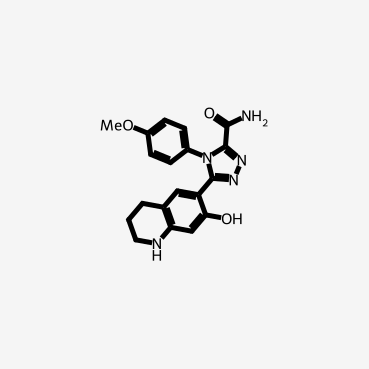 COc1ccc(-n2c(C(N)=O)nnc2-c2cc3c(cc2O)NCCC3)cc1